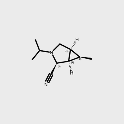 CC(C)N1C[C@H]2[C@@H](C)[C@H]2[C@H]1C#N